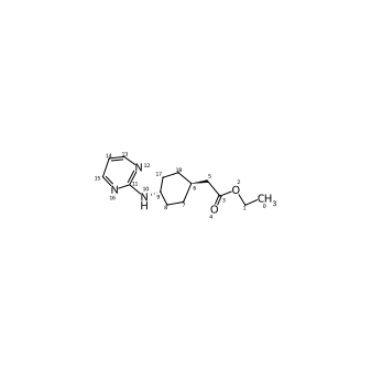 CCOC(=O)C[C@H]1CC[C@H](Nc2ncccn2)CC1